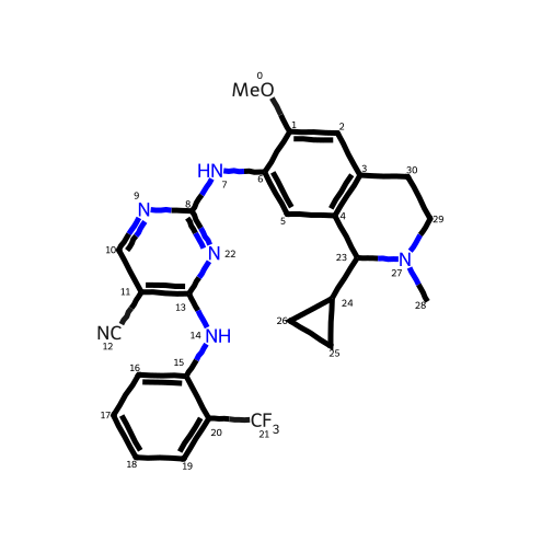 COc1cc2c(cc1Nc1ncc(C#N)c(Nc3ccccc3C(F)(F)F)n1)C(C1CC1)N(C)CC2